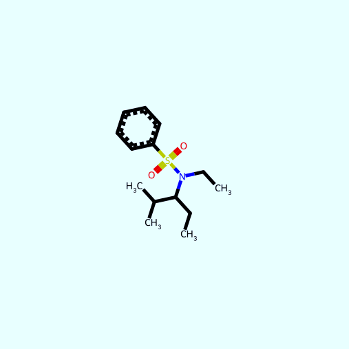 CCC(C(C)C)N(CC)S(=O)(=O)c1ccccc1